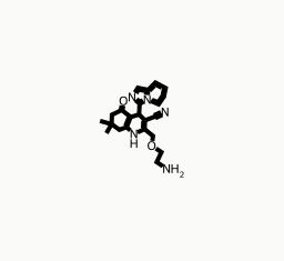 CC1(C)CC(=O)C2=C(C1)NC(COCCN)=C(C#N)C2c1ncc2ccccn12